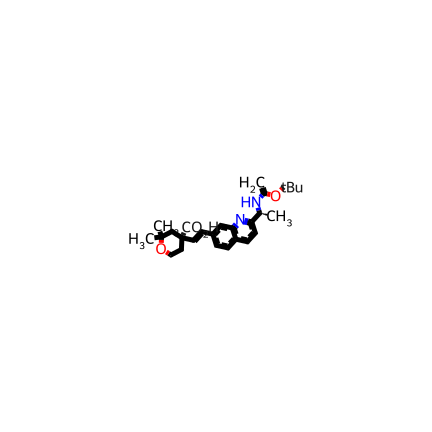 C=C(N[C@H](C)c1ccc2ccc(/C=C/C3(C(=O)O)CCOC(C)(C)C3)cc2n1)OC(C)(C)C